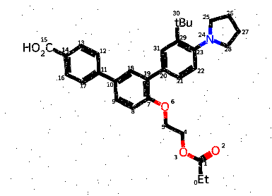 CCC(=O)OCCOc1ccc(-c2ccc(C(=O)O)cc2)cc1-c1ccc(N2CCCC2)c(C(C)(C)C)c1